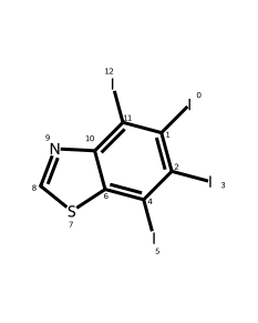 Ic1c(I)c(I)c2scnc2c1I